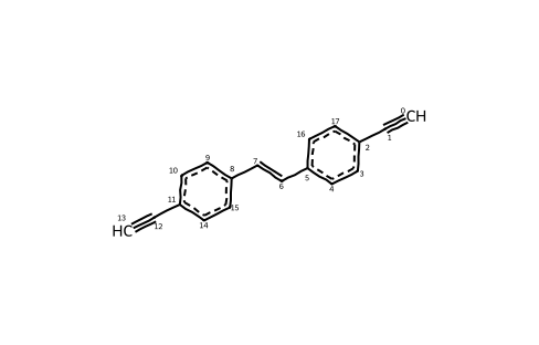 C#Cc1ccc(/C=C/c2ccc(C#C)cc2)cc1